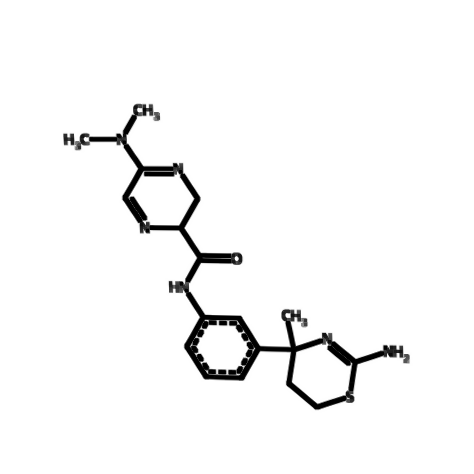 CN(C)C1=NCC(C(=O)Nc2cccc(C3(C)CCSC(N)=N3)c2)N=C1